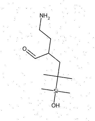 CC(C)(CC(C=O)CCN)[Si](C)(C)O